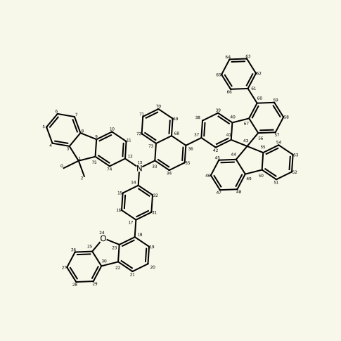 CC1(C)c2ccccc2-c2ccc(N(c3ccc(-c4cccc5c4oc4ccccc45)cc3)c3ccc(-c4ccc5c(c4)C4(c6ccccc6-c6ccccc64)c4cccc(-c6ccccc6)c4-5)c4ccccc34)cc21